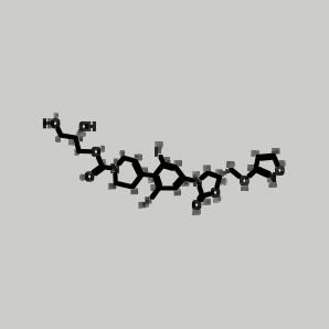 O=C(OC[C@@H](O)CO)N1CC=C(c2c(F)cc(N3C[C@H](COc4ccon4)OC3=O)cc2F)CC1